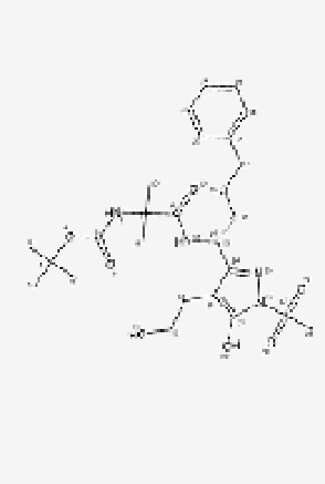 CC(C)(C)OC(=O)NC(C)(C)C(=O)N[C@H](COCc1ccccc1)c1nn(S(C)(=O)=O)c(O)c1CCO